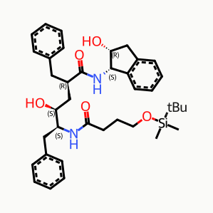 CC(C)(C)[Si](C)(C)OCCCC(=O)N[C@@H](Cc1ccccc1)[C@@H](O)C[C@@H](Cc1ccccc1)C(=O)N[C@H]1c2ccccc2C[C@H]1O